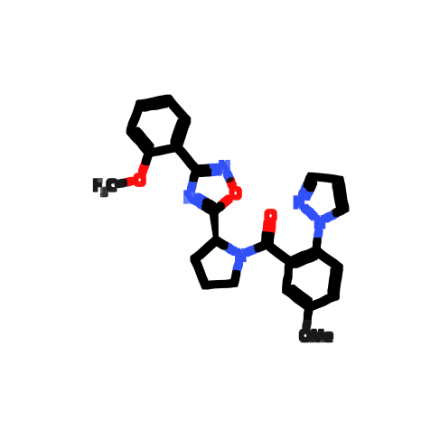 COc1ccc(-n2cccn2)c(C(=O)N2CCC[C@H]2c2nc(-c3ccccc3OC(F)(F)F)no2)c1